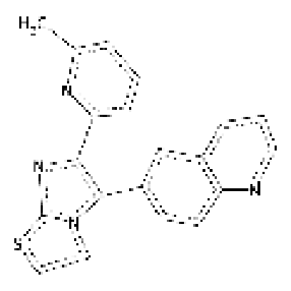 Cc1cccc(-c2nc3sccn3c2-c2ccc3ncccc3c2)n1